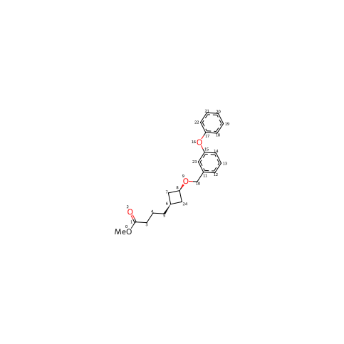 COC(=O)CCC[C@H]1C[C@@H](OCc2cccc(Oc3ccccc3)c2)C1